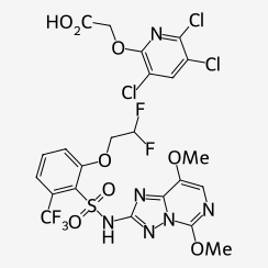 COc1cnc(OC)n2nc(NS(=O)(=O)c3c(OCC(F)F)cccc3C(F)(F)F)nc12.O=C(O)COc1nc(Cl)c(Cl)cc1Cl